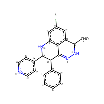 O=CC1NN=C2c3c(cc(F)cc31)NC(c1ccncc1)C2c1ccccc1